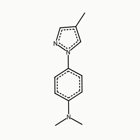 Cc1cnn(-c2ccc(N(C)C)cc2)c1